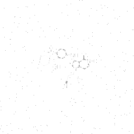 N#CCC(C1CC1)n1nc(Nc2ccc3c(c2)[C@H](O)C2(CCCCC2)S3(=O)=O)c2c(=O)[nH]ccc21